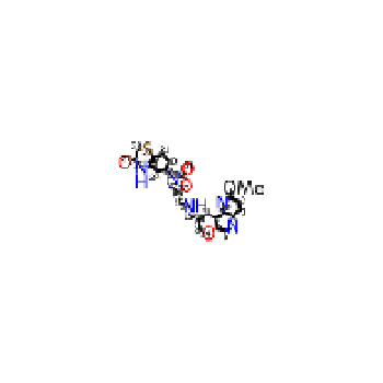 COc1ccc2ncc3c(c2n1)C[C@H](CNC[C@@H]1CN(c2ccc4c(c2)NC(=O)CS4)C(=O)O1)CO3